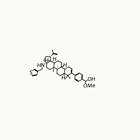 C=C(C)[C@@H]1CC[C@]2(NCc3ccsc3)CC[C@]3(C)[C@H](CC[C@@H]4[C@@]5(C)CC=C(c6ccc(C(O)OC)cc6)C(C)(C)[C@@H]5CC[C@]43C)[C@@H]12